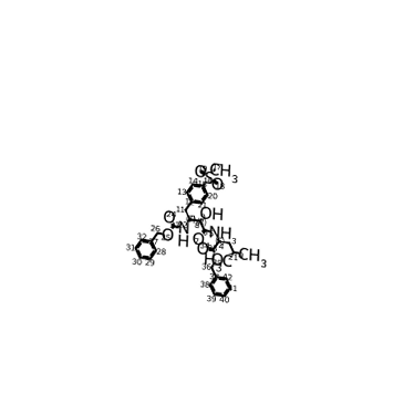 CC(C)C[C@H](NC(=O)[C@H](O)[C@H](Cc1ccc(S(C)(=O)=O)cc1)NC(=O)OCc1ccccc1)C(=O)OCc1ccccc1